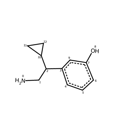 NCC(c1cccc(O)c1)C1CC1